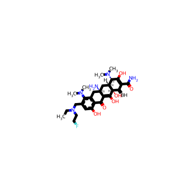 B=C1C(C(N)=O)=C(O)[C@@H](N(C)C)[C@@H]2C[C@]3(N)Cc4c(c(O)cc(CN(CC)CCF)c4N(C)C)C(=O)C3=C(O)[C@]12O